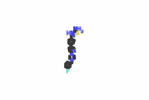 NC(=S)NN=Cc1ccc(-c2ccc(N3CCN(Cc4cccc(F)c4)CC3)nc2)cc1